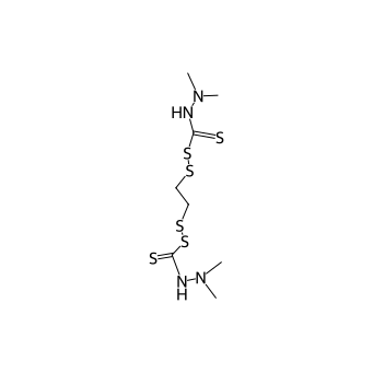 CN(C)NC(=S)SSCCSSC(=S)NN(C)C